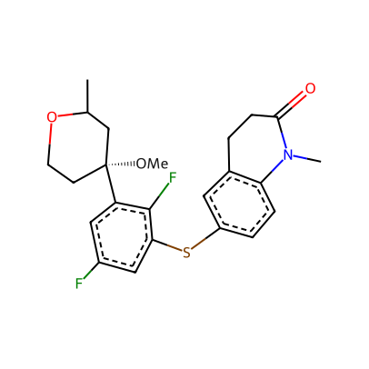 CO[C@]1(c2cc(F)cc(Sc3ccc4c(c3)CCC(=O)N4C)c2F)CCOC(C)C1